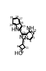 Nc1nccn2c(C3CC(O)C3)nc(-c3cc4ccccc4[nH]3)c12